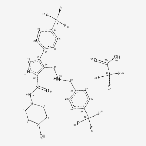 O=C(NC1CCC(O)CC1)c1noc(-c2ccc(C(F)(F)F)cc2)c1CNCc1ccc(C(F)(F)F)cc1.O=C(O)C(F)(F)F